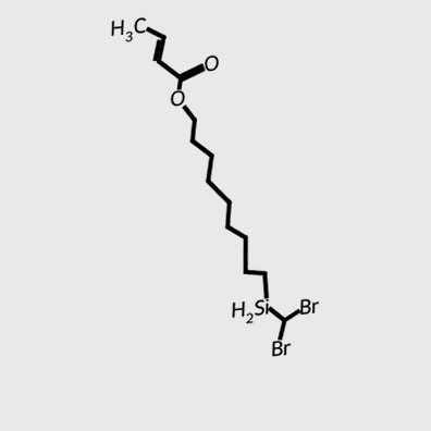 CC=CC(=O)OCCCCCCCCC[SiH2]C(Br)Br